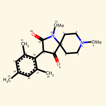 CON1CCC2(CC1)C(=O)C(c1c(C)cc(C)cc1C)C(=O)N2OC